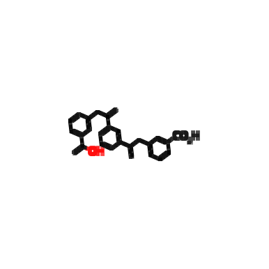 C=C(O)c1cccc(CC(=C)c2cccc(C(=C)Cc3cccc(C(=O)O)c3)c2)c1